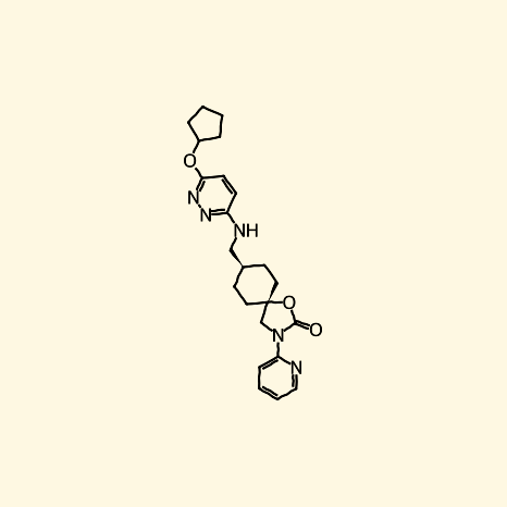 O=C1O[C@]2(CC[C@H](CNc3ccc(OC4CCCC4)nn3)CC2)CN1c1ccccn1